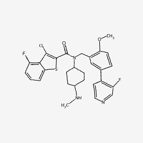 CNC1CCC(N(Cc2cc(-c3ccncc3F)ccc2OC)C(=O)c2sc3cccc(F)c3c2Cl)CC1